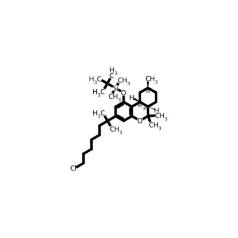 C[C@H]1CC[C@@H]2[C@@H](C1)c1c(cc(C(C)(C)CCCCCCCl)cc1O[Si](C)(C)C(C)(C)C)OC2(C)C